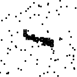 COc1ccc(-c2[nH]c3ccc(C4CCN(CC(=O)NCCCO)CC4)cc3c2C(C)C)cc1OC